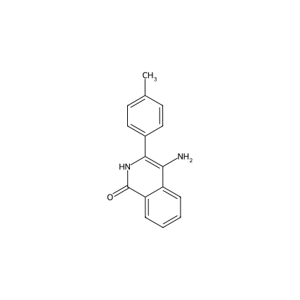 Cc1ccc(-c2[nH]c(=O)c3ccccc3c2N)cc1